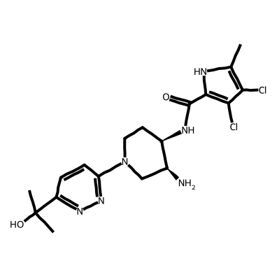 Cc1[nH]c(C(=O)N[C@@H]2CCN(c3ccc(C(C)(C)O)nn3)C[C@@H]2N)c(Cl)c1Cl